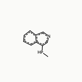 CPc1cncc2ccccc12